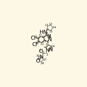 O=C(Cn1cc(-c2nnc(NC3CCCC3)c3cc(Cl)c(Cl)cc23)cn1)N1CCOC1